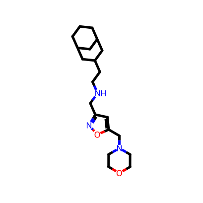 c1c(CNCCC2CC3CCCC(C3)C2)noc1CN1CCOCC1